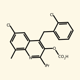 Cc1cc(Cl)cc2c(Cc3ccccc3Cl)c(OC(=O)O)c(C(C)C)nc12